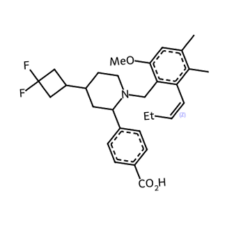 CC/C=C\c1c(C)c(C)cc(OC)c1CN1CCC(C2CC(F)(F)C2)CC1c1ccc(C(=O)O)cc1